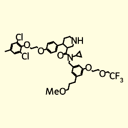 COCCCc1cc(CN(C(=O)C2CNCCC2c2ccc(OCCOc3c(Cl)cc(C)cc3Cl)cc2)C2CC2)cc(OCCOCC(F)(F)F)c1